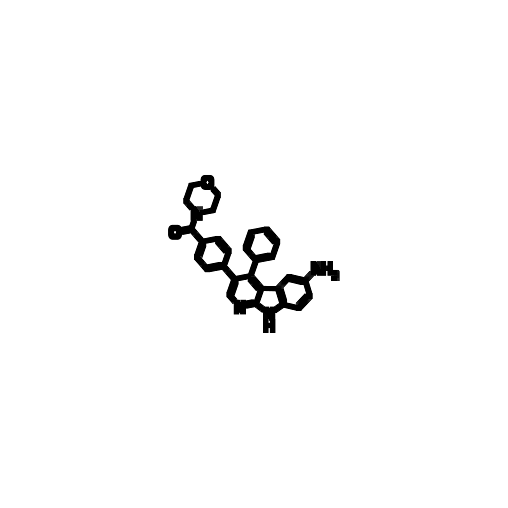 Nc1ccc2[nH]c3ncc(-c4ccc(C(=O)N5CCOCC5)cc4)c(-c4ccccc4)c3c2c1